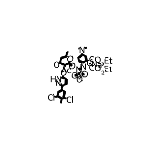 CC(=O)C1C(=O)C=C(C)OC1=O.CCOC(=O)OC(=O)OCC.CN(C)c1ccc(/N=N/S(=O)(=O)[O-])cc1.Cc1c(Cl)cc(-c2ccc(=O)[nH]n2)cc1Cl.[Na+]